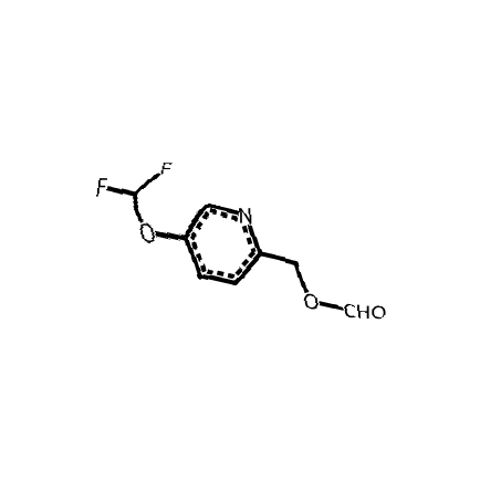 O=COCc1ccc(OC(F)F)cn1